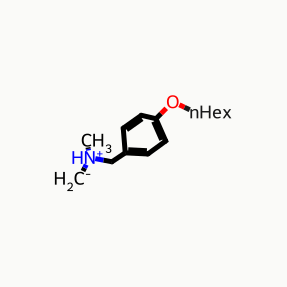 [CH2-][NH+](C)Cc1ccc(OCCCCCC)cc1